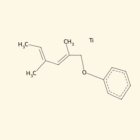 CC=C(C)C=C(C)COc1ccccc1.[Ti]